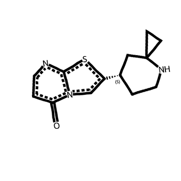 O=c1ccnc2sc([C@H]3CCNC4(CC4)C3)cn12